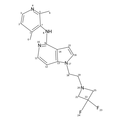 Cc1ccnc(C)c1Nc1nccc2c1ccn2CCN1CC(F)(F)C1